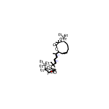 CC[C@H](O[Si](CC)(CC)CC)[C@@H](C)[C@@H]1O[C@H]1CC(C)(/C=C/C=C(\C)C1CC=CCCCCC(O[Si](CC)(CC)CC)C(C)(C)C(=O)O1)O[Si](CC)(CC)CC